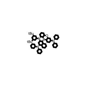 CC(C)(C)c1cc(N2c3cccc4c3B(c3ccc(N(c5ccccc5)c5ccccc5)cc3O4)c3c2cc(N(c2ccccc2)c2ccccc2)c2ccccc32)cc(C(C)(C)C)c1